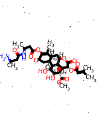 COC(=O)[C@@]12OC[C@]34C([C@@H](O)[C@@H]1O)[C@@]1(C)CC(=O)C(OC(=O)C[C@H](C)NC(=O)C[C@H](C)N)=C(C)[C@@H]1C[C@H]3OC(=O)[C@H](OC(=O)C=C(C)C)[C@@H]24